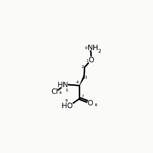 NOCC[C@H](NCl)C(=O)O